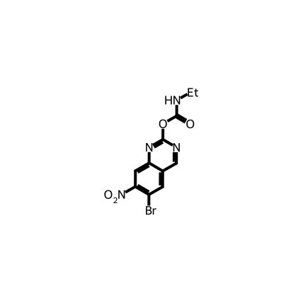 CCNC(=O)Oc1ncc2cc(Br)c([N+](=O)[O-])cc2n1